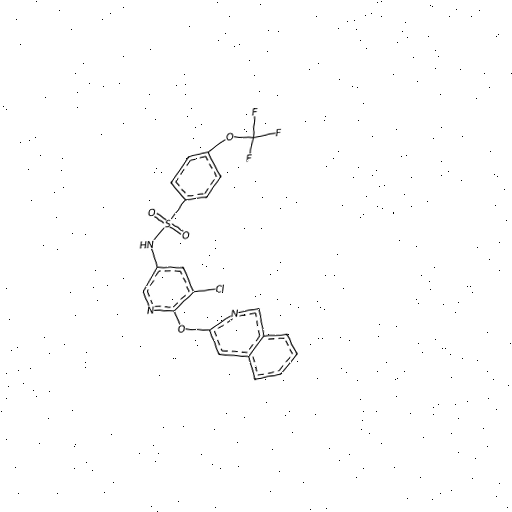 O=S(=O)(Nc1cnc(Oc2cc3ccccc3cn2)c(Cl)c1)c1ccc(OC(F)(F)F)cc1